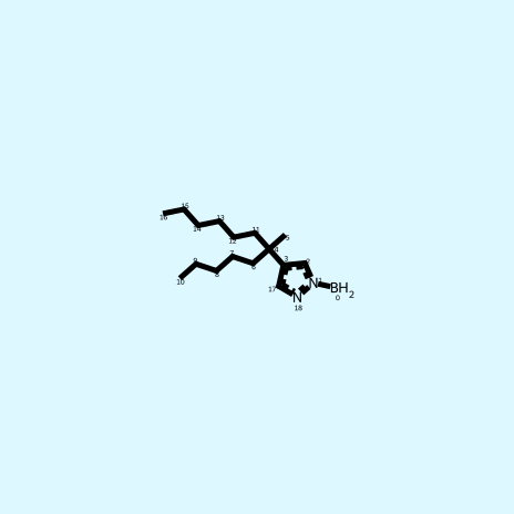 Bn1cc(C(C)(CCCCC)CCCCCC)cn1